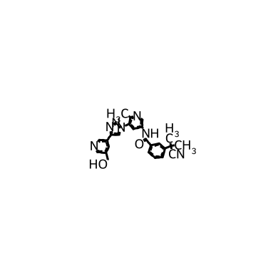 Cc1ncc(NC(=O)c2cccc(C(C)(C)C#N)c2)cc1-n1cc(-c2cncc(CO)c2)nn1